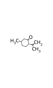 C=C(C)[C@H]1CC[C@@H](C)CC1=O